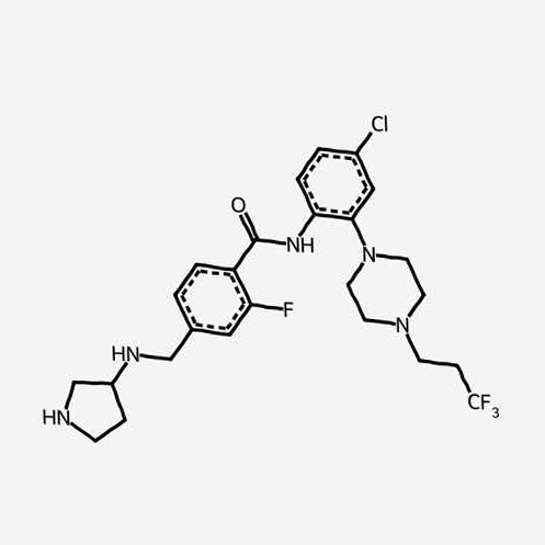 O=C(Nc1ccc(Cl)cc1N1CCN(CCC(F)(F)F)CC1)c1ccc(CNC2CCNC2)cc1F